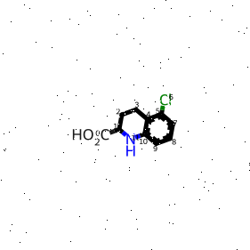 O=C(O)C1CCc2c(Cl)cccc2N1